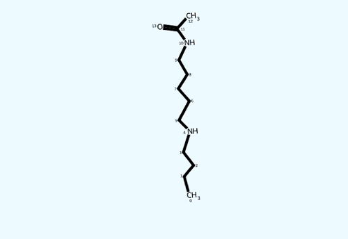 CCCCNCCCCCNC(C)=O